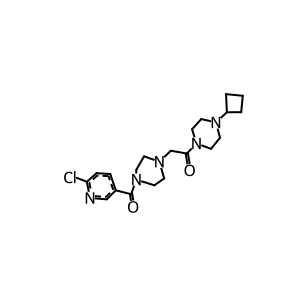 O=C(CN1CCN(C(=O)c2ccc(Cl)nc2)CC1)N1CCN(C2CCC2)CC1